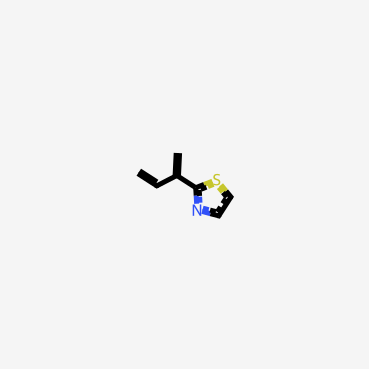 C=CC(=C)c1nccs1